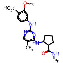 CCOc1cc(Nc2ncc(C(F)(F)F)c(NC3CCCC3C(=O)NC(C)C)n2)ccc1C(=O)O